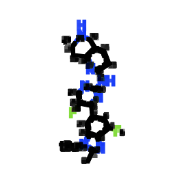 Cc1nc2c(F)cc(-c3nc(Nc4ccc5c(n4)C[C@H](C)NC5)ncc3F)cc2n1C(C)(C)C